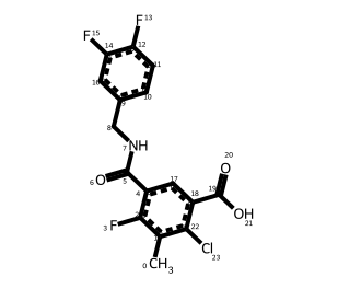 Cc1c(F)c(C(=O)NCc2ccc(F)c(F)c2)cc(C(=O)O)c1Cl